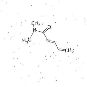 C=CC=NC(=O)N(C)C